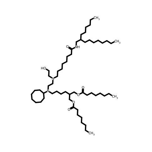 CCCCCCCCC(CCCCCC)CNC(=O)CCCCCCCN(CCO)CCN(CCCCC(COC(=O)CCCCCCC)COC(=O)CCCCCCC)C1CCCCCCC1